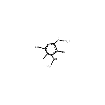 CCC(C)c1cc(NC(=O)O)c(C(C)CC)c(NC(=O)O)c1C